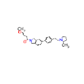 COCCCC(=O)N1Cc2ccc(-c3ccc(CCN4CCCC4C)cc3)cc2C1